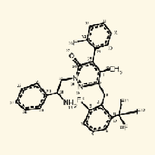 Cc1c(Cc2c(F)cccc2C(F)(F)F)nn(CC(N)c2ccccc2)c(=O)c1-c1ccccc1F